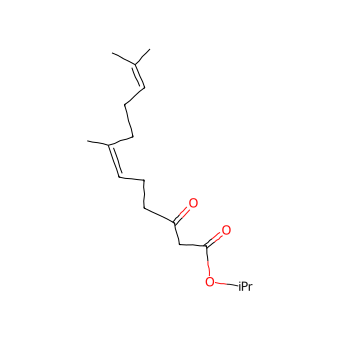 CC(C)=CCCC(C)=CCCC(=O)CC(=O)OC(C)C